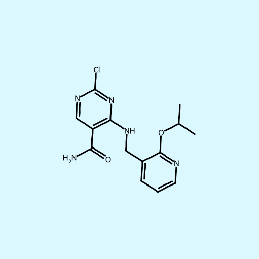 CC(C)Oc1ncccc1CNc1nc(Cl)ncc1C(N)=O